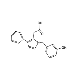 O=C(O)Cc1c(-c2ccccc2)ncn1Cc1cccc(O)c1